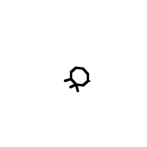 CC1CCCC[CH]CC1(C)C